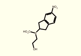 O=C(O)N(CCO)C1Cc2ccc([N+](=O)[O-])cc2C1